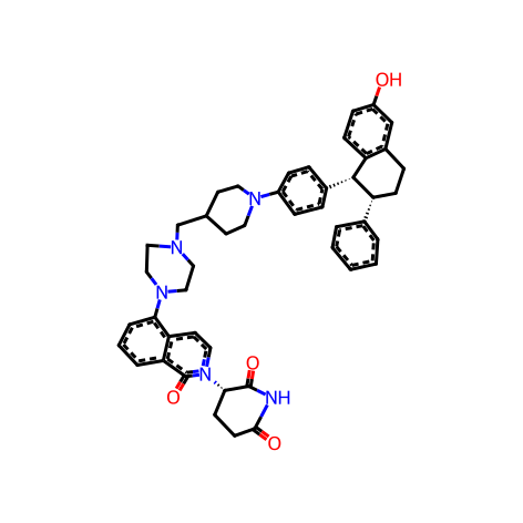 O=C1CC[C@H](n2ccc3c(N4CCN(CC5CCN(c6ccc([C@@H]7c8ccc(O)cc8CC[C@@H]7c7ccccc7)cc6)CC5)CC4)cccc3c2=O)C(=O)N1